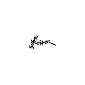 CCCCCCCOc1ccc(-c2cnc(-c3ccc(C[C@H](NC(=O)c4ccc(C(C)(C)C)s4)C(=O)N4CC(C(=O)N(C)C)C4)cc3)nc2)cc1